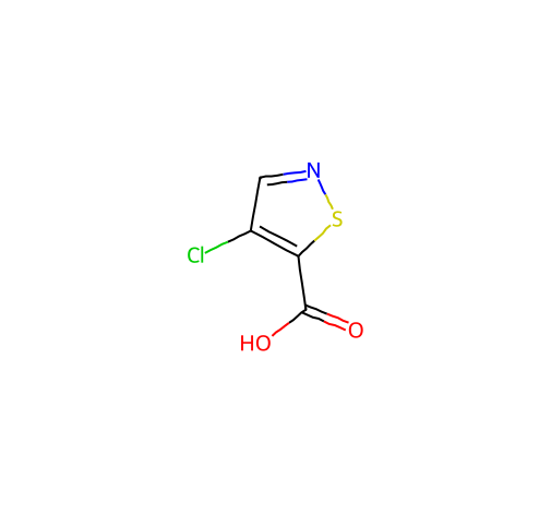 O=C(O)c1sncc1Cl